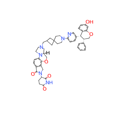 O=C1CCC(N2Cc3c(ccc4c3OC[C@H]3CN(CC5CC6(CCN(c7ccc([C@@H]8c9ccc(O)cc9OC[C@@H]8c8ccccc8)cn7)CC6)C5)CCN43)C2=O)C(=O)N1